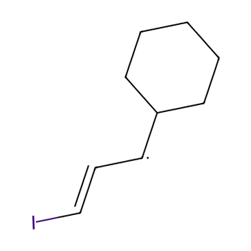 I/C=C/[CH]C1CCCCC1